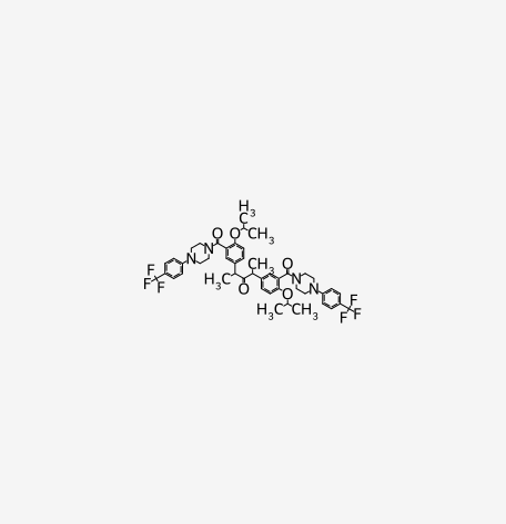 CC(C)Oc1ccc(C(C)C(=O)C(C)c2ccc(OC(C)C)c(C(=O)N3CCN(c4ccc(C(F)(F)F)cc4)CC3)c2)cc1C(=O)N1CCN(c2ccc(C(F)(F)F)cc2)CC1